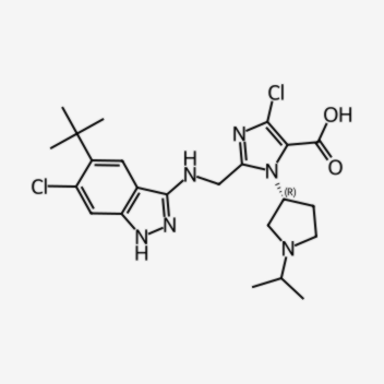 CC(C)N1CC[C@@H](n2c(CNc3n[nH]c4cc(Cl)c(C(C)(C)C)cc34)nc(Cl)c2C(=O)O)C1